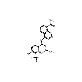 CN(C)CC(Nc1nnnc2c(C(N)=O)cccc12)c1ccc(Cl)c(C(F)(F)F)c1